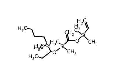 C=C[Si](C)(C)OC(=C)[Si](C)(C)OC(CC)[Si](C)(C)CCCC